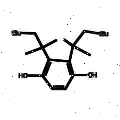 CC(C)(C)CC(C)(C)c1c(O)ccc(O)c1C(C)(C)CC(C)(C)C